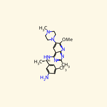 COc1nc2nc(C)nc(N[C@H](C)c3cc(N)cc(C(F)(F)F)c3)c2cc1N1CCN(C)CC1